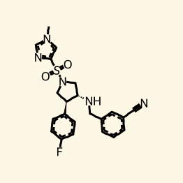 Cn1cnc(S(=O)(=O)N2C[C@H](NCc3cccc(C#N)c3)[C@@H](c3ccc(F)cc3)C2)c1